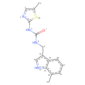 Cc1cnc(NC(=O)NCc2c[nH]c3c(C)cccc23)s1